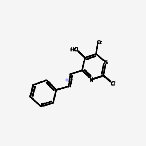 CCc1nc(Cl)nc(/C=C/c2ccccc2)c1O